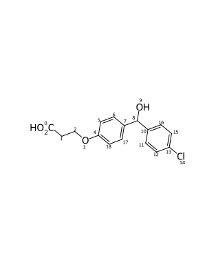 O=C(O)CCOc1ccc(C(O)c2ccc(Cl)cc2)cc1